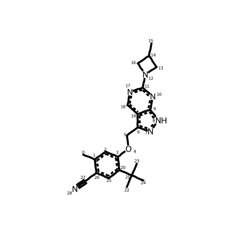 Cc1cc(OCc2n[nH]c3nc(N4CC(C)C4)ncc23)c(C(C)(C)C)cc1C#N